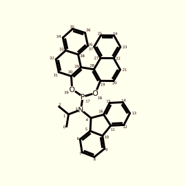 CC(C)N(C1c2ccccc2-c2ccccc21)p1oc2ccc3ccccc3c2c2c(ccc3ccccc32)o1